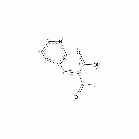 CC(=O)/C(=C/c1cccnc1)C(=O)O